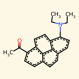 CCN(CC)c1ccc2ccc3ccc(C(C)=O)c4ccc1c2c34